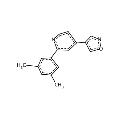 Cc1cc(C)cc(-c2cc(-c3cnoc3)ccn2)c1